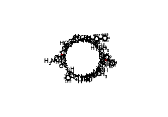 CC(C)[C@@H]1NC(=O)[C@H](Cc2ccccc2)NC(=O)CSC[C@@H](C(=O)NCC(N)=O)NC(=O)[C@@H]2CCCN2C(=O)[C@H](CO)NC(=O)[C@H](CC(=O)O)NC(=O)[C@H](C)N(C)C(=O)[C@H](Cc2ccc(-c3ccccc3)cc2)NC(=O)[C@H](C)N(C)C(=O)[C@H](Cc2ccc(-c3ccccc3)cc2)NC(=O)[C@H]([C@@H](C)O)NC(=O)[C@H]([C@@H](C)O)NC(=O)[C@H](CO)NC1=O